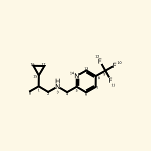 CC(CNCc1ccc(C(F)(F)F)cn1)C1CC1